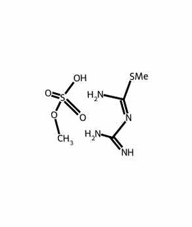 COS(=O)(=O)O.CSC(N)=NC(=N)N